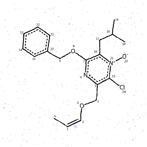 C/C=C\OCc1nc(OCc2ccccc2)c(CC(C)C)[n+]([O-])c1Cl